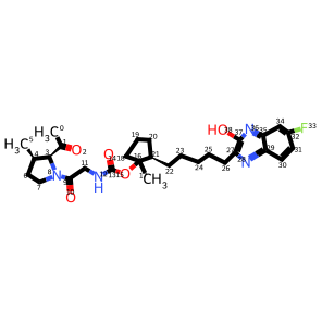 CC(=O)[C@@H]1[C@H](C)CCN1C(=O)CNC(=O)OC1(C)CCC[C@H]1CCCCCc1nc2ccc(F)cc2nc1O